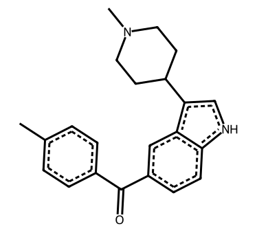 Cc1ccc(C(=O)c2ccc3[nH]cc(C4CCN(C)CC4)c3c2)cc1